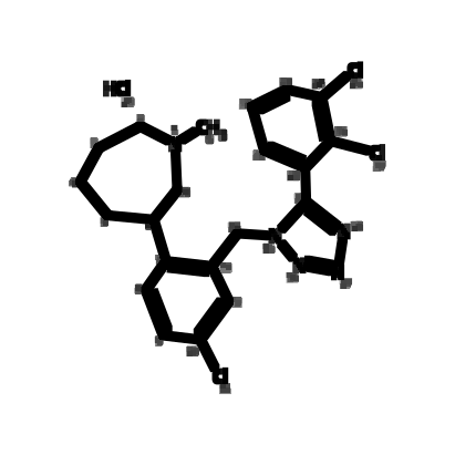 CN1CCCCC(c2ccc(Cl)cc2Cn2nnnc2-c2cccc(Cl)c2Cl)C1.Cl